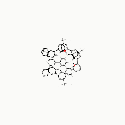 Cc1ccc(-c2c(-n3c4ccccc4c4cc(C(C)(C)C)ccc43)c(-c3cc(-c4ccccc4)nc(-c4ccccc4)n3)c(-n3c4ccccc4c4cc(C(C)(C)C)ccc43)c(-n3c4ccccc4c4cc(C(C)(C)C)ccc43)c2-n2c3ccccc3c3cc(C(C)(C)C)ccc32)c(C)n1